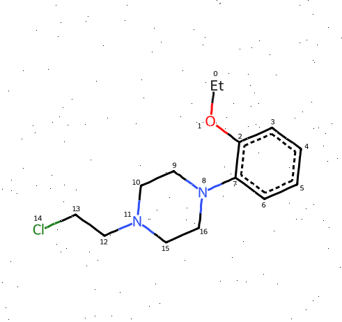 CCOc1ccccc1N1CCN(CCCl)CC1